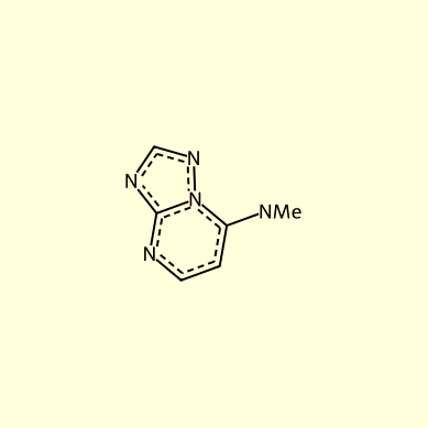 CNc1ccnc2ncnn12